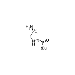 CC(C)(C)C(=O)[C@@H]1C[C@H](N)CN1